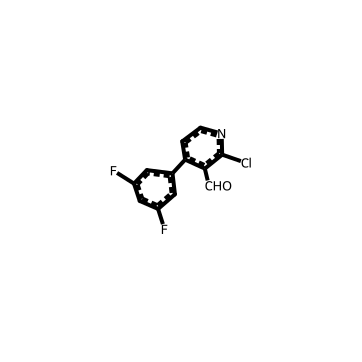 O=Cc1c(-c2cc(F)cc(F)c2)ccnc1Cl